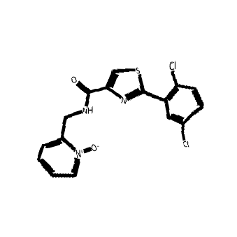 O=C(NCc1cccc[n+]1[O-])c1csc(-c2cc(Cl)ccc2Cl)n1